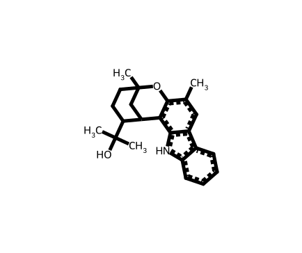 Cc1cc2c([nH]c3ccccc32)c2c1OC1(C)CCC(C(C)(C)O)C2C1